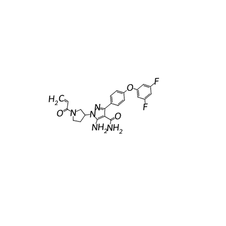 C=CC(=O)N1CCC(n2nc(-c3ccc(Oc4cc(F)cc(F)c4)cc3)c(C(N)=O)c2N)C1